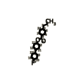 CCCc1ccc(C(=O)Oc2ccc(-c3ccc(F)cc3)cc2)cc1